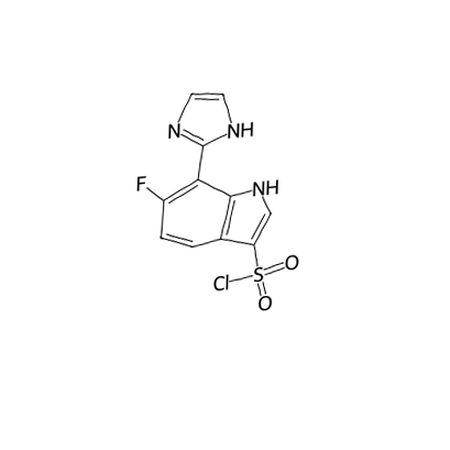 O=S(=O)(Cl)c1c[nH]c2c(-c3ncc[nH]3)c(F)ccc12